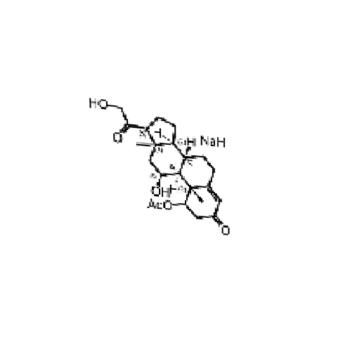 CC(=O)OC1CC(=O)C=C2CC[C@@H]3[C@H]([C@@H](O)C[C@]4(C)[C@@H](C(=O)CO)CC[C@@H]34)[C@]21C.[NaH]